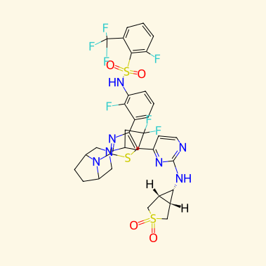 O=S1(=O)C[C@@H]2[C@H](C1)[C@@H]2Nc1nccc(-c2sc(N3C4CCC3CN(C3CC(F)(F)C3)C4)nc2-c2cccc(NS(=O)(=O)c3c(F)cccc3C(F)(F)F)c2F)n1